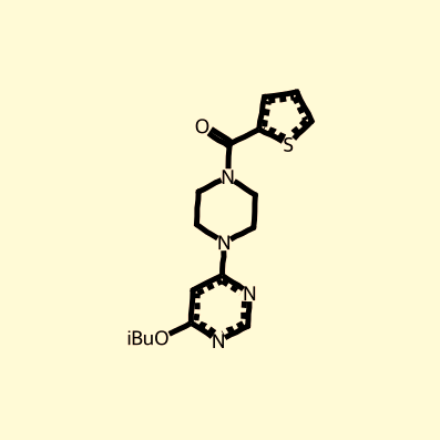 CC(C)COc1cc(N2CCN(C(=O)c3cccs3)CC2)ncn1